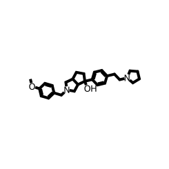 COc1ccc(CN2CC3CCC(O)(c4ccc(CCN5CCCC5)cc4)C3C2)cc1